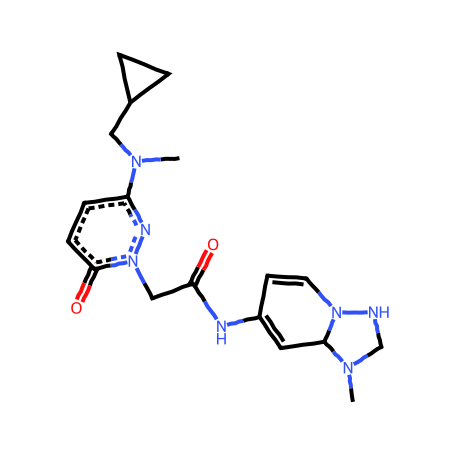 CN(CC1CC1)c1ccc(=O)n(CC(=O)NC2=CC3N(C)CNN3C=C2)n1